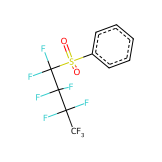 O=S(=O)(c1ccccc1)C(F)(F)C(F)(F)C(F)(F)C(F)(F)F